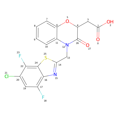 O=C(O)CC1Oc2ccccc2N(Cc2nc3c(F)cc(Cl)c(F)c3s2)C1=O